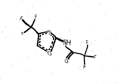 O=C(Nc1nc(C(F)(F)F)co1)C(F)(F)F